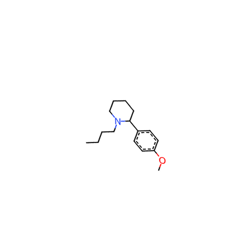 CCCCN1CCCCC1c1ccc(OC)cc1